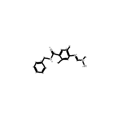 CCN(C)C=Nc1cc(C)c(C(=O)OCc2ccccc2)cc1C